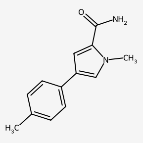 Cc1ccc(-c2cc(C(N)=O)n(C)c2)cc1